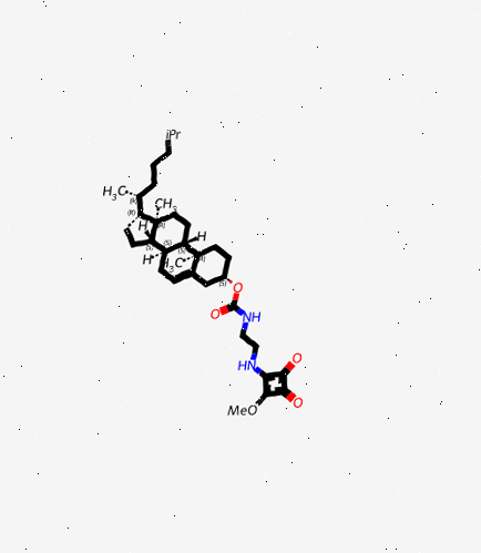 COc1c(NCCNC(=O)O[C@H]2CC[C@@]3(C)C(=CC[C@H]4[C@@H]5CC[C@H]([C@H](C)CCCC(C)C)[C@@]5(C)CC[C@@H]43)C2)c(=O)c1=O